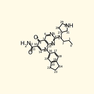 CCCN(c1ncc2c(=O)c(C(N)=O)cn(-c3ccc4c(c3)CCC4)c2n1)C1CCNC1